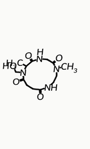 CC1C(=O)NCC(=O)N(C)CCNC(=O)CCC(=O)N1CO